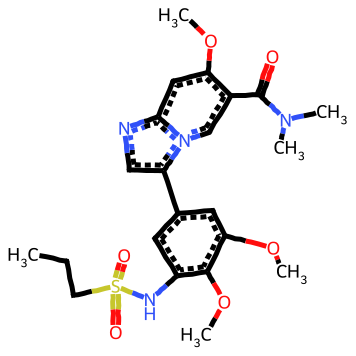 CCCS(=O)(=O)Nc1cc(-c2cnc3cc(OC)c(C(=O)N(C)C)cn23)cc(OC)c1OC